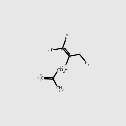 C=C(C)C(=O)O.FCC(F)=C(F)F